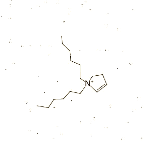 CCCCCC[N+]1(CCCCCC)C=CCC1